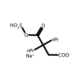 CCCC(CCC)(CC(=O)[O-])C(=O)OS(=O)(=O)O.[Na+]